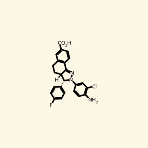 Nc1ccc(N2N=C3c4ccc(C(=O)O)cc4CC[C@H]3[C@H]2c2ccc(F)cc2)cc1Cl